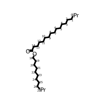 CC(C)CCCCCCCCCCCCCCC(=O)OCCCCCCCCCC(C)C